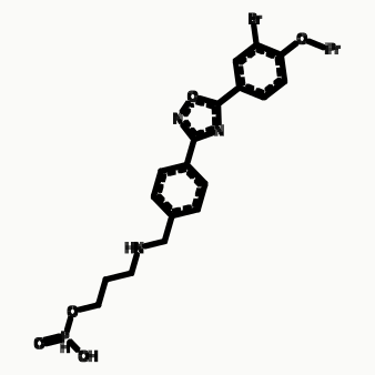 CC(C)Oc1ccc(-c2nc(-c3ccc(CNCCCO[PH](=O)O)cc3)no2)cc1Br